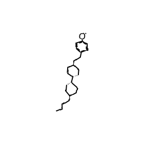 CCCC[C@H]1CC[C@H]([C@H]2CC[C@H](CCc3ccc(OC)cc3)CC2)CC1